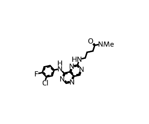 CNC(=O)CCCNc1ncc2ncnc(Nc3ccc(F)c(Cl)c3)c2n1